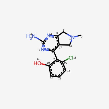 CN1Cc2nc(N)nc(-c3c(O)cccc3Cl)c2C1